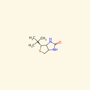 CC(C)(C)[C@@H]1SCC2NC(=O)NC21